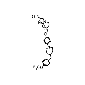 O=[N+]([O-])c1cn2c(n1)O[C@H](COc1ccc(N3CCC(Cc4ccc(OC(F)(F)F)cc4)CC3)cc1)CC2